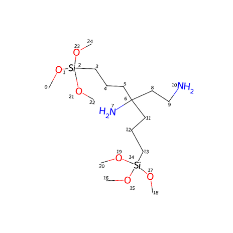 CO[Si](CCCC(N)(CCN)CCC[Si](OC)(OC)OC)(OC)OC